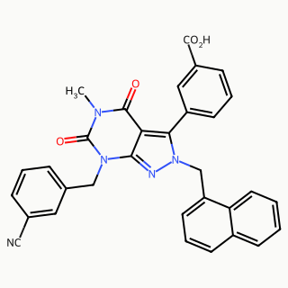 Cn1c(=O)c2c(-c3cccc(C(=O)O)c3)n(Cc3cccc4ccccc34)nc2n(Cc2cccc(C#N)c2)c1=O